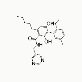 C=C(C)c1ccc(C)cc1-c1c(O)cc(CCCCC)c(C(=O)NCc2cncnc2)c1O